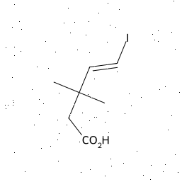 CC(C)(C=CI)CC(=O)O